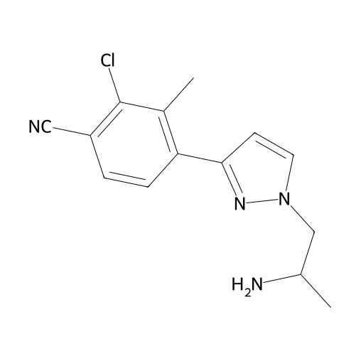 Cc1c(-c2ccn(CC(C)N)n2)ccc(C#N)c1Cl